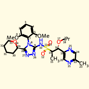 COc1cccc(OC)c1-n1c(NS(=O)(=O)[C@H](C)[C@H](OC(C)C)c2cnc(C)cn2)nnc1[C@H]1CCCCO1